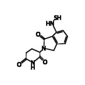 O=C1CCC(N2Cc3cccc(NS)c3C2=O)C(=O)N1